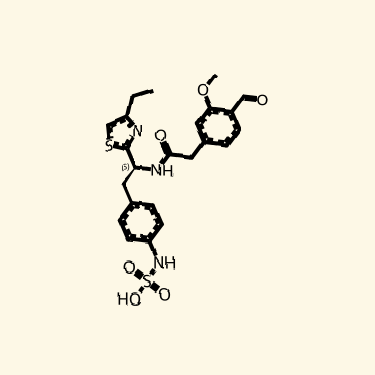 CCc1csc([C@H](Cc2ccc(NS(=O)(=O)O)cc2)NC(=O)Cc2ccc(C=O)c(OC)c2)n1